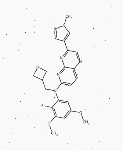 COc1cc(OC)c(F)c(N(CC2COC2)c2ccc3ncc(-c4cnn(C)c4)nc3n2)c1